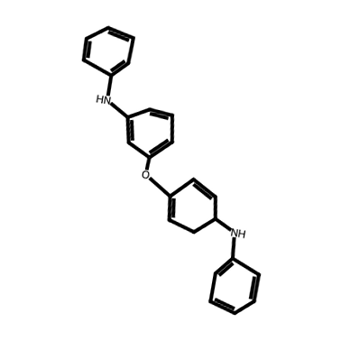 C1=CC(Nc2ccccc2)CC=C1Oc1cccc(Nc2ccccc2)c1